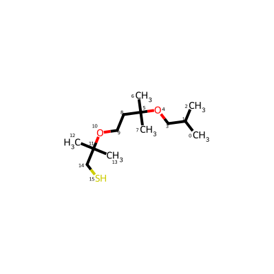 CC(C)COC(C)(C)CCOC(C)(C)CS